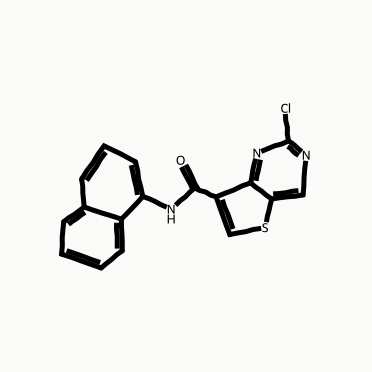 O=C(Nc1cccc2ccccc12)c1csc2cnc(Cl)nc12